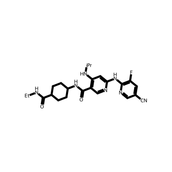 CCNC(=O)C1CCC(NC(=O)c2cnc(Nc3ncc(C#N)cc3F)cc2NC(C)C)CC1